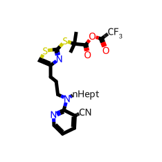 CCCCCCCN(CCCc1csc(SC(C)(C)C(=O)OC(=O)C(F)(F)F)n1)c1ncccc1C#N